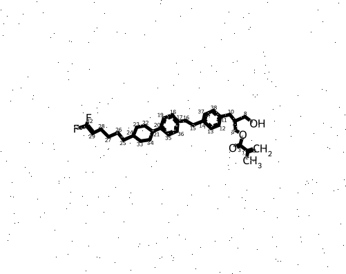 C=C(C)C(=O)OCC(CO)Cc1ccc(CCc2ccc(C3CCC(CCCCC=C(F)F)CC3)cc2)cc1